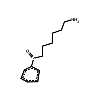 NCCCCCC[P](=O)c1ccccc1